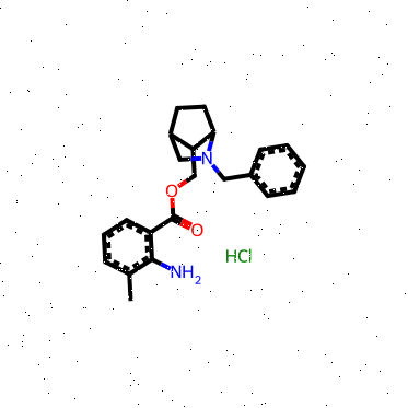 Cc1cccc(C(=O)OCC2C3CCC2N(Cc2ccccc2)C3)c1N.Cl